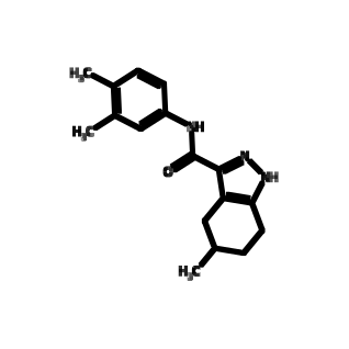 Cc1ccc(NC(=O)c2n[nH]c3c2CC(C)CC3)cc1C